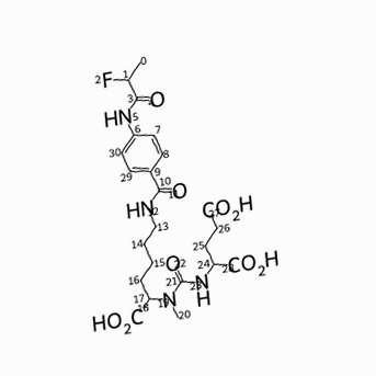 CC(F)C(=O)Nc1ccc(C(=O)NCCCCC(C(=O)O)N(C)C(=O)NC(CCC(=O)O)C(=O)O)cc1